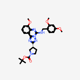 COc1ccc(CNc2nc3c(OC)cccc3c3nc([C@@H]4CCN(C(=O)OC(C)(C)C)C4)nn23)c(OC)c1